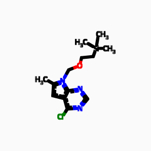 Cc1cc2c(Cl)ncnc2n1COCC[Si](C)(C)C